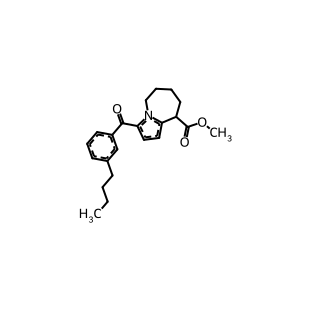 CCCCc1cccc(C(=O)c2ccc3n2CCCCC3C(=O)OC)c1